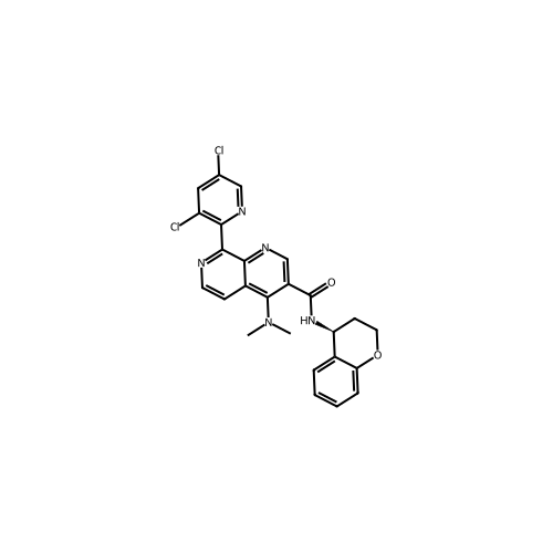 CN(C)c1c(C(=O)N[C@H]2CCOc3ccccc32)cnc2c(-c3ncc(Cl)cc3Cl)nccc12